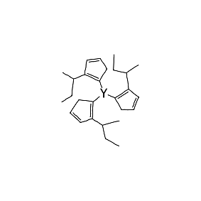 CCC(C)C1=[C]([Y]([C]2=C(C(C)CC)C=CC2)[C]2=C(C(C)CC)C=CC2)CC=C1